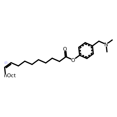 CCCCCCCC/C=C\CCCCCCCC(=O)Oc1ccc(CN(C)C)cc1